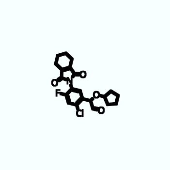 O=CC(OC1CCCC1)c1cc(N2C(=O)C3=C(CCCC3)C2=O)c(F)cc1Cl